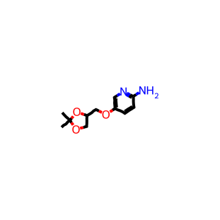 CC1(C)OCC(COc2ccc(N)nc2)O1